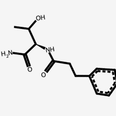 CC(O)[C@@H](NC(=O)CCc1ccccc1)C(N)=O